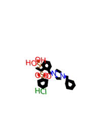 Cl.O=C(c1cccc2c1C(S(=O)(=O)c1ccccc1)CS2(O)O)N1CCN(Cc2ccccc2)CC1